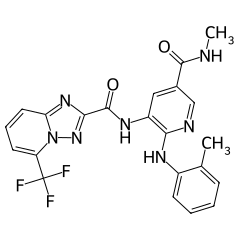 CNC(=O)c1cnc(Nc2ccccc2C)c(NC(=O)c2nc3cccc(C(F)(F)F)n3n2)c1